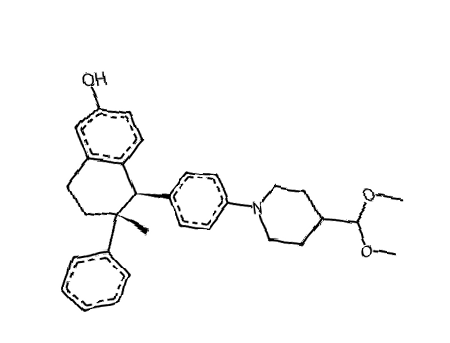 COC(OC)C1CCN(c2ccc([C@@H]3c4ccc(O)cc4CC[C@@]3(C)c3ccccc3)cc2)CC1